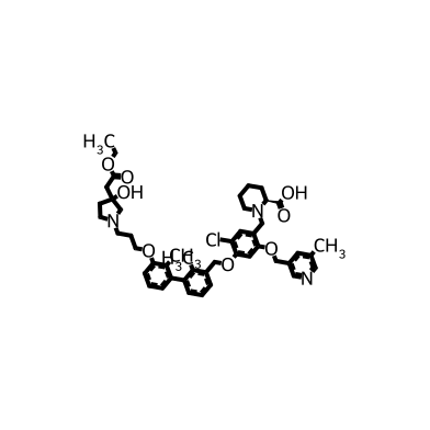 CCOC(=O)CC1(O)CCN(CCCOc2cccc(-c3cccc(COc4cc(OCc5cncc(C)c5)c(CN5CCCC[C@H]5C(=O)O)cc4Cl)c3C)c2C)C1